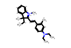 CCN(CC)c1ccc(/C=C/C2=[N+](C)c3ccccc3C2(C)CC)c(C)c1